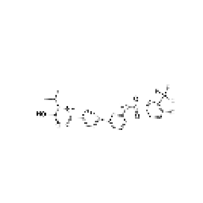 CC(C)C(NC(=O)c1ccc(-c2cccc(NS(=O)(=O)c3ccc(Cl)c(C(F)(F)F)c3)c2)cc1)C(=O)O